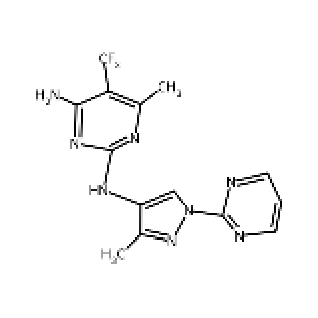 Cc1nn(-c2ncccn2)cc1Nc1nc(C)c(C(F)(F)F)c(N)n1